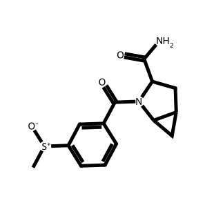 C[S+]([O-])c1cccc(C(=O)N2C(C(N)=O)CC3CC32)c1